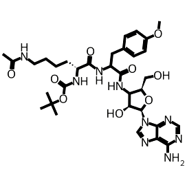 COc1ccc(CC(NC(=O)[C@@H](CCCCNC(C)=O)NC(=O)OC(C)(C)C)C(=O)NC2[C@@H](CO)O[C@@H](n3cnc4c(N)ncnc43)[C@H]2O)cc1